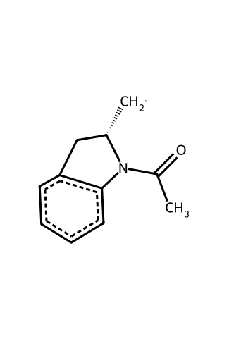 [CH2][C@H]1Cc2ccccc2N1C(C)=O